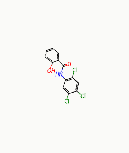 O=C(Nc1cc(Cl)c(Cl)cc1Cl)c1ccccc1O